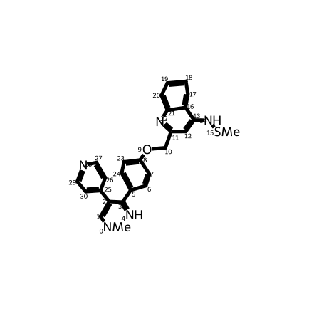 CN/C=C(\C(=N)c1ccc(OCc2cc(NSC)c3ccccc3n2)cc1)c1ccncc1